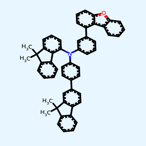 CC1(C)c2ccccc2-c2ccc(-c3ccc(N(c4cccc(-c5cccc6oc7ccccc7c56)c4)c4cccc5c4-c4ccccc4C5(C)C)cc3)cc21